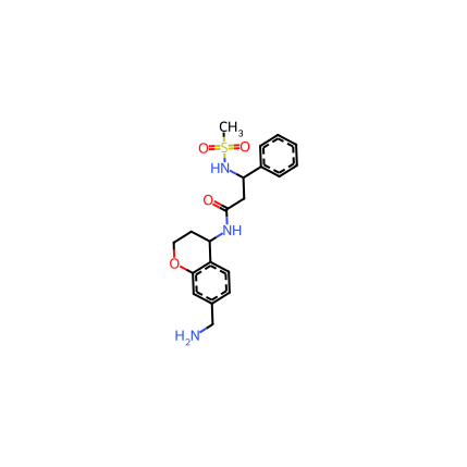 CS(=O)(=O)NC(CC(=O)NC1CCOc2cc(CN)ccc21)c1ccccc1